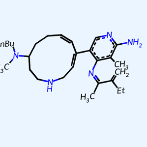 C=C(CC)/C(C)=N\c1c(C2=C/CNCCC(N(C)CCCC)CC/C=C\2)cnc(N)c1C